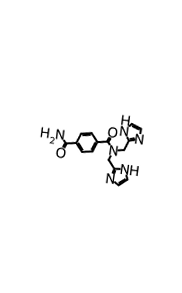 NC(=O)c1ccc(C(=O)N(Cc2ncc[nH]2)Cc2ncc[nH]2)cc1